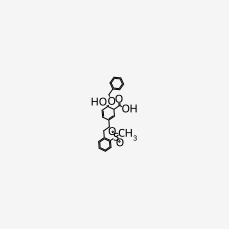 CS(=O)(=O)c1ccccc1CCC1=CC(C(=O)O)C(O)(OCc2ccccc2)C=C1